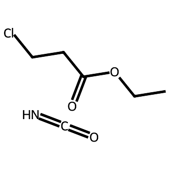 CCOC(=O)CCCl.N=C=O